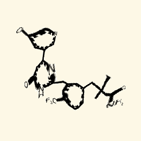 CC(C)(Cc1ccc(C(F)(F)F)c(-c2nc(-c3cncc(Cl)c3)cc(=O)[nH]2)c1)C(N)=O